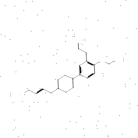 CCC=CCC1CCC(c2ccc(OCC)c(CCC)c2)CC1